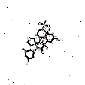 Cc1cc(F)ccc1[C@@H]1CNC[C@@]1(C(=O)N1CCN(S(C)(=O)=O)CC1)N(C)C(=O)C(C)(C)c1cc(C(F)(F)F)cc(C(F)(F)F)c1